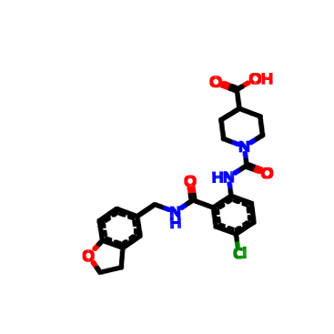 O=C(NCc1ccc2c(c1)CCO2)c1cc(Cl)ccc1NC(=O)N1CCC(C(=O)O)CC1